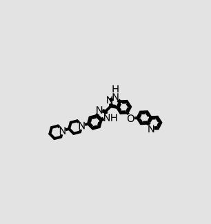 c1cnc2cc(Oc3ccc4[nH]nc(-c5nc6cc(N7CCC(N8CCCCC8)CC7)ccc6[nH]5)c4c3)ccc2c1